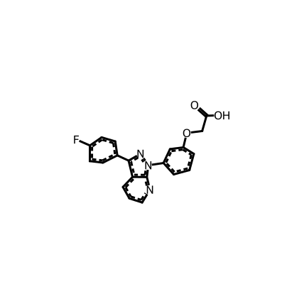 O=C(O)COc1cccc(-n2nc(-c3ccc(F)cc3)c3cccnc32)c1